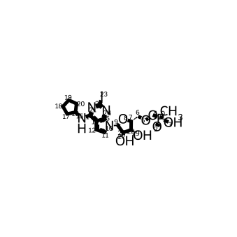 CP(=O)(O)OOC[C@H]1O[C@@H](n2ccc3c(NC4CCCC4)nc(I)nc32)[C@H](O)[C@@H]1O